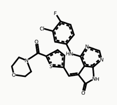 O=C1Nc2ncnc(Nc3ccc(F)c(Cl)c3)c2/C1=C\c1ccc(C(=O)N2CCOCC2)s1